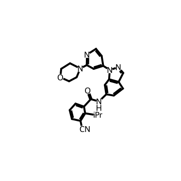 CC(C)c1c(C#N)cccc1C(=O)Nc1ccc2cnn(-c3ccnc(N4CCOCC4)c3)c2c1